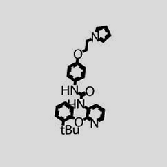 CC(C)(C)c1ccccc1Oc1ncccc1NC(=O)Nc1ccc(OCCn2cccc2)cc1